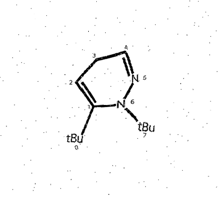 CC(C)(C)C1=CCC=NN1C(C)(C)C